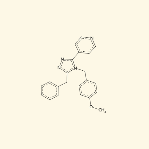 COc1ccc(Cn2c(Cc3ccccc3)nnc2-c2ccncc2)cc1